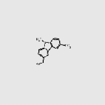 [2H]Cc1ccc2c(c1)c1cc(C)ccc1n2C